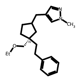 CCOC[C@]1(CCc2ccccc2)CCC(Cc2cnn(C)c2)C1